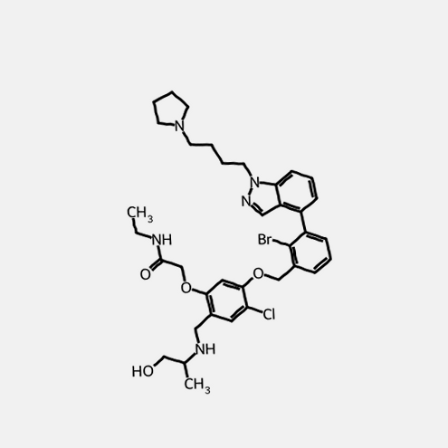 CCNC(=O)COc1cc(OCc2cccc(-c3cccc4c3cnn4CCCCN3CCCC3)c2Br)c(Cl)cc1CNC(C)CO